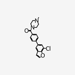 CN1CCN(C(=O)c2ccc(-c3cc(Cl)c4occc4c3)cc2)CC1